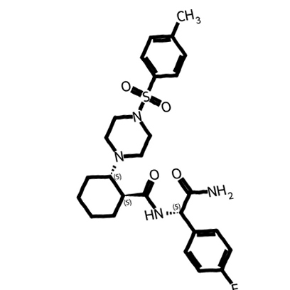 Cc1ccc(S(=O)(=O)N2CCN([C@H]3CCCC[C@@H]3C(=O)N[C@H](C(N)=O)c3ccc(F)cc3)CC2)cc1